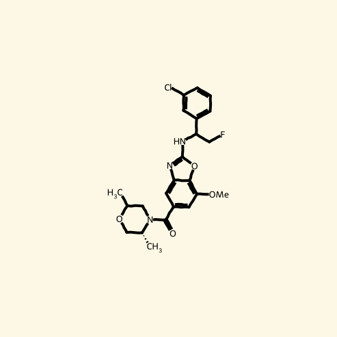 COc1cc(C(=O)N2CC(C)OC[C@H]2C)cc2nc(NC(CF)c3cccc(Cl)c3)oc12